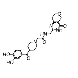 O=C(CN1CCC(C(=O)c2ccc(O)c(O)c2)CC1)NCc1nc2c(c(=O)[nH]1)COCC2